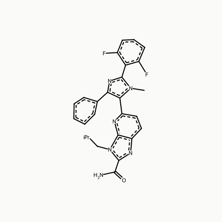 CC(C)Cn1c(C(N)=O)nc2ccc(-c3c(-c4ccccc4)nc(-c4c(F)cccc4F)n3C)nc21